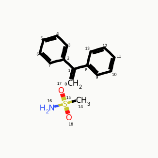 C=C(c1ccccc1)c1ccccc1.CS(N)(=O)=O